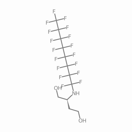 OCC[C@@H](CO)NC(F)(F)C(F)(F)C(F)(F)C(F)(F)C(F)(F)C(F)(F)C(F)(F)C(F)(F)F